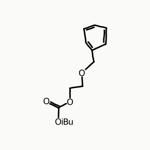 CC(C)COC(=O)OCCOCc1ccccc1